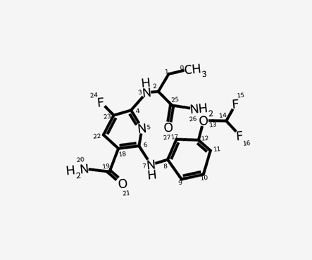 CCC(Nc1nc(Nc2cccc(OC(F)F)c2)c(C(N)=O)cc1F)C(N)=O